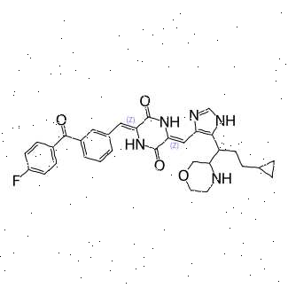 O=C(c1ccc(F)cc1)c1cccc(/C=c2\[nH]c(=O)/c(=C/c3nc[nH]c3C(CCC3CC3)C3COCCN3)[nH]c2=O)c1